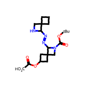 CC(C)(C)OC(=O)N1CC2(CC(OC(=O)C(=O)O)C2)C1N=NC1NCC12CCC2